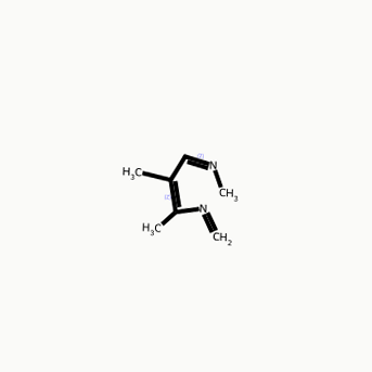 C=N/C(C)=C(C)\C=N/C